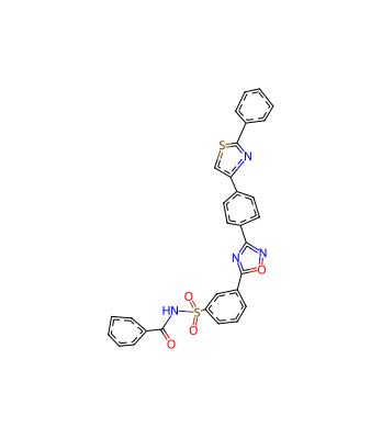 O=C(NS(=O)(=O)c1cccc(-c2nc(-c3ccc(-c4csc(-c5ccccc5)n4)cc3)no2)c1)c1ccccc1